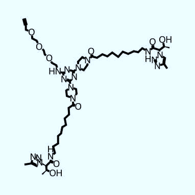 C#CCOCCOCCOCCNc1nc(N2CCN(C(=O)CCCCCCCCCCNC(=O)[C@@H]([C@H](C)O)n3cc(C)nn3)CC2)nc(N2CCN(C(=O)CCCCCCCCCCNC(=O)[C@@H]([C@H](C)O)n3cc(C)nn3)CC2)n1